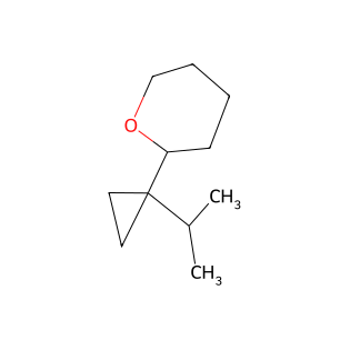 CC(C)C1(C2CCCCO2)CC1